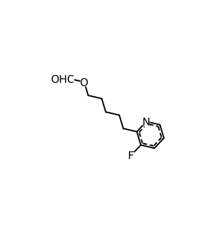 O=COCCCCCc1ncccc1F